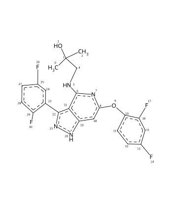 CC(C)(O)CNc1nc(Oc2ccc(F)cc2F)cc2[nH]nc(-c3cc(F)ccc3F)c12